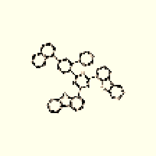 c1ccc(-c2cc(-c3cccc4ccccc34)ccc2-c2nc(-c3cccc4c3oc3ccccc34)nc(-c3cccc4c3oc3ccccc34)n2)cc1